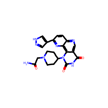 NC(=O)CN1CCC(n2c(=O)[nH]c(=O)c3cnc4ccc(-c5cn[nH]c5)nc4c32)CC1